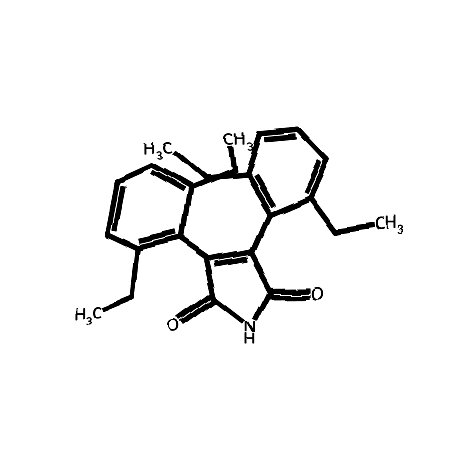 CCc1cccc(CC)c1C1=C(c2c(CC)cccc2CC)C(=O)NC1=O